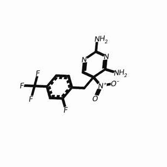 NC1=NC(N)N=CC1(Cc1ccc(C(F)(F)F)cc1F)[N+](=O)[O-]